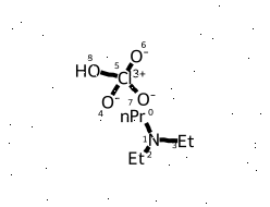 CCCN(CC)CC.[O-][Cl+3]([O-])([O-])O